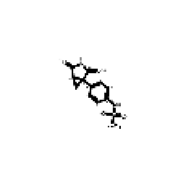 CS(=O)(=O)Nc1ccc(C23CC2C(=O)NC3=O)cc1